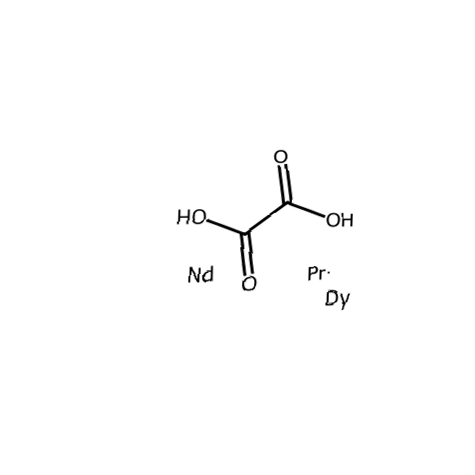 O=C(O)C(=O)O.[Dy].[Nd].[Pr]